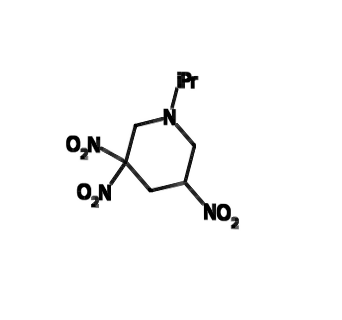 CC(C)N1CC([N+](=O)[O-])CC([N+](=O)[O-])([N+](=O)[O-])C1